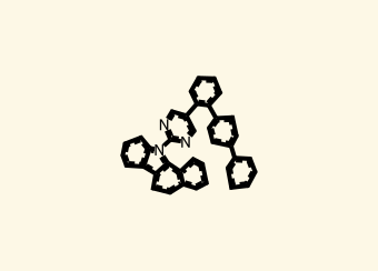 c1ccc(-c2ccc(-c3ccccc3-c3cnc(-n4c5ccccc5c5ccc6ccccc6c54)nc3)cc2)cc1